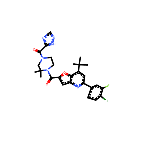 CC(C)(C)c1cc(-c2ccc(Cl)c(F)c2)nc2cc(C(=O)N3CCN(C(=O)c4ncn[nH]4)CC3(C)C)oc12